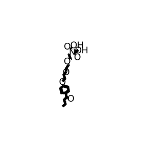 CCCC(=O)c1ccc(OCCOCCOCCN(C(=O)O)C(=O)O)cc1